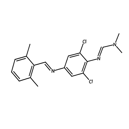 Cc1cccc(C)c1C=Nc1cc(Cl)c(N=CN(C)C)c(Cl)c1